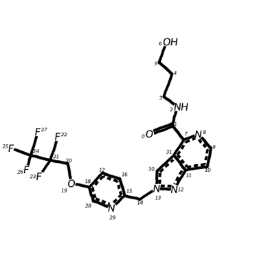 O=C(NCCCO)c1nccc2nn(Cc3ccc(OCC(F)(F)C(F)(F)F)cn3)cc12